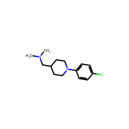 CN(C)CC1CCN(c2[c]cc(Cl)cc2)CC1